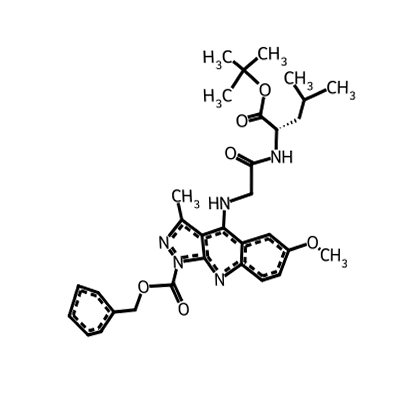 COc1ccc2nc3c(c(C)nn3C(=O)OCc3ccccc3)c(NCC(=O)N[C@@H](CC(C)C)C(=O)OC(C)(C)C)c2c1